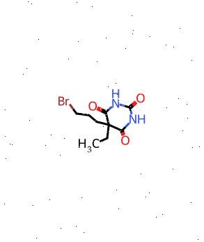 CCC1(CCCBr)C(=O)NC(=O)NC1=O